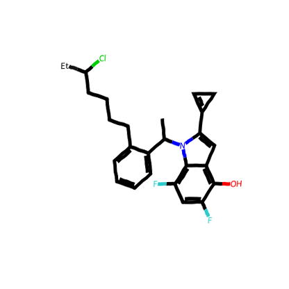 CCC(Cl)CCCCc1ccccc1C(C)n1c(C2=CC2)cc2c(O)c(F)cc(F)c21